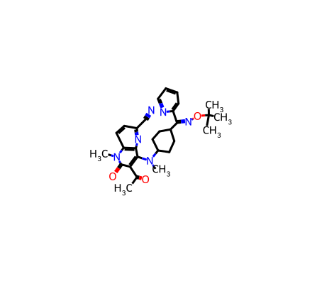 CC(=O)c1c(N(C)C2CCC(/C(=N/OC(C)(C)C)c3ccccn3)CC2)c2nc(C#N)ccc2n(C)c1=O